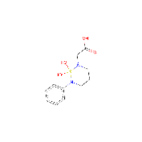 O=C(O)CN1CCCN(c2ccccc2)S1(O)O